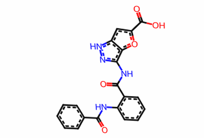 O=C(Nc1ccccc1C(=O)Nc1n[nH]c2cc(C(=O)O)oc12)c1ccccc1